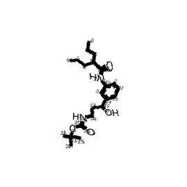 CCCC(CCC)C(=O)Nc1cccc(C(O)CCNC(=O)OC(C)(C)C)c1